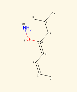 C/C=C\C=C(\CC(C)C)ON